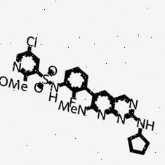 CNc1nc2nc(NC3CCCC3)ncc2cc1-c1cccc(NS(=O)(=O)c2cc(Cl)cnc2OC)c1F